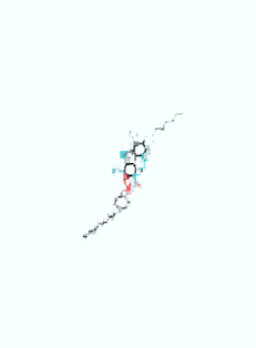 CCCCCCCCc1c(F)c(F)c(-c2c(F)c(F)c(OC(=O)[C@H]3CC[C@H](CCCCCCCC)CC3)c(F)c2F)c(F)c1F